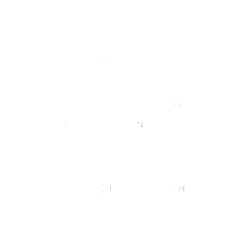 CCCCN(CCCC)C1=C(c2ccccc2)C(=O)C=CC1=O